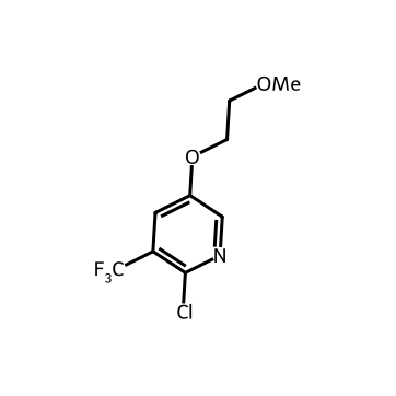 COCCOc1cnc(Cl)c(C(F)(F)F)c1